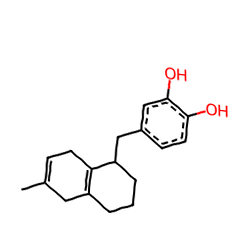 CC1=CCC2=C(CCCC2Cc2ccc(O)c(O)c2)C1